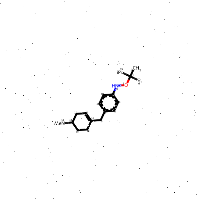 CCC(C)(ONc1ccc(CC2=CCC(NC)CC2)cc1)C(C)C